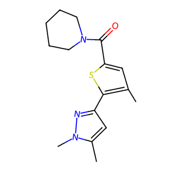 Cc1cc(C(=O)N2CCCCC2)sc1-c1cc(C)n(C)n1